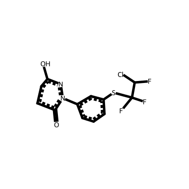 O=c1ccc(O)nn1-c1cccc(SC(F)(F)C(F)Cl)c1